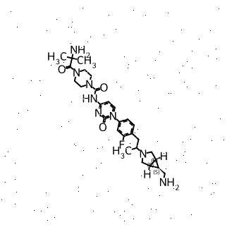 CC(Cc1ccc(-n2ccc(NC(=O)N3CCN(C(=O)C(C)(C)N)CC3)nc2=O)cc1F)N1C[C@@H]2[C@@H](CN)[C@@H]2C1